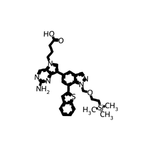 C[Si](C)(C)CCOCn1ncc2cc(-c3cn(CCCC(=O)O)c4cnc(N)nc34)cc(-c3cc4ccccc4s3)c21